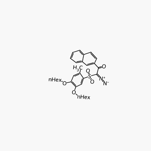 CCCCCCOc1cc(C)c(S(=O)(=O)C(=[N+]=[N-])C(=O)c2ccc3ccccc3c2)cc1OCCCCCC